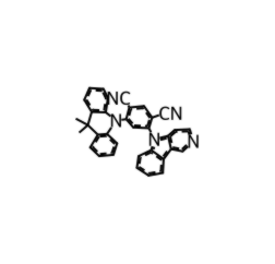 CC1(C)c2ccccc2N(c2cc(-n3c4ccccc4c4cnccc43)c(C#N)cc2C#N)c2ccccc21